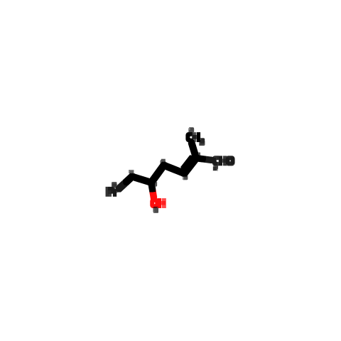 CC(C=O)=CCC(O)CC(C)C